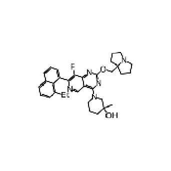 CCc1cccc2cccc(-c3ncc4c(N5CCCC(C)(O)C5)nc(OCC56CCCN5CCC6)nc4c3F)c12